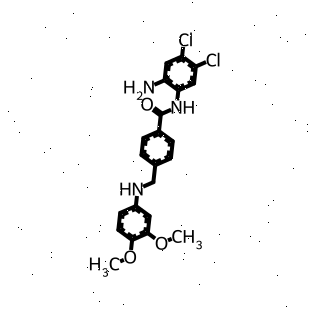 COc1ccc(NCc2ccc(C(=O)Nc3cc(Cl)c(Cl)cc3N)cc2)cc1OC